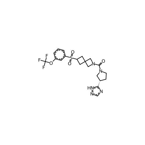 O=C(N1CC[C@H](c2ncn[nH]2)C1)N1CC2(CC(S(=O)(=O)c3cccc(OC(F)(F)F)c3)C2)C1